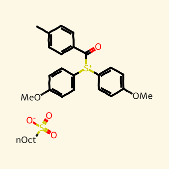 CCCCCCCCS(=O)(=O)[O-].COc1ccc([S+](C(=O)c2ccc(C)cc2)c2ccc(OC)cc2)cc1